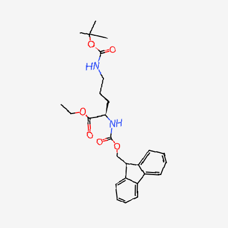 CCOC(=O)[C@@H](CCCNC(=O)OC(C)(C)C)NC(=O)OCC1c2ccccc2-c2ccccc21